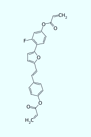 C=CC(=O)Oc1ccc(/C=C/c2ccc(-c3ccc(OC(=O)C=C)cc3F)o2)cc1